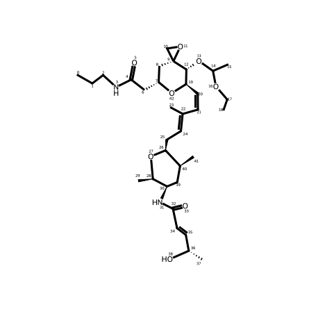 CCCNC(=O)C[C@@H]1C[C@@]2(CO2)[C@H](OC(C)OCC)[C@@H](C=CC(C)=CC[C@@H]2O[C@H](C)[C@H](NC(=O)C=C[C@H](C)O)C[C@@H]2C)O1